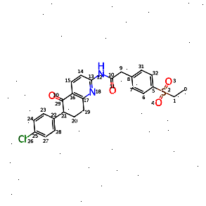 CCS(=O)(=O)c1ccc(CC(=O)Nc2ccc3c(n2)CCC(c2ccc(Cl)cc2)C3=O)cc1